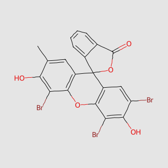 Cc1cc2c(c(Br)c1O)Oc1c(cc(Br)c(O)c1Br)C21OC(=O)c2ccccc21